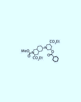 CCOC(=O)C1CC2CC(N3C[C@H](OC(=O)c4ccccc4)C[C@@H](C(=O)OCC)C3)CCC2CN1C(=O)OC